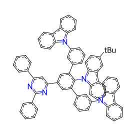 CC(C)(C)c1ccc2c(c1)c1ccccc1n2-c1c(-c2cccc(-n3c4ccccc4c4ccccc43)c2)cc(-c2cc(-c3ccccc3)nc(-c3ccccc3)n2)cc1-c1cccc(-n2c3ccccc3c3ccccc32)c1